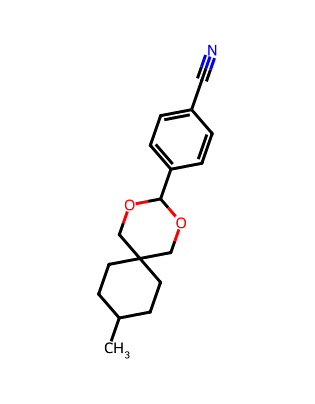 CC1CCC2(CC1)COC(c1ccc(C#N)cc1)OC2